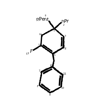 CCCCCC1(CCC)C=CC(c2ccccc2)=C(F)C1